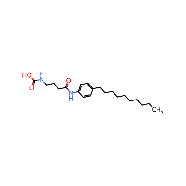 CCCCCCCCCCc1ccc(NC(=O)CCCNC(=O)O)cc1